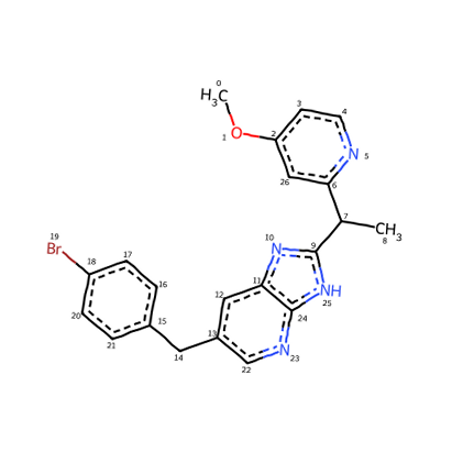 COc1ccnc(C(C)c2nc3cc(Cc4ccc(Br)cc4)cnc3[nH]2)c1